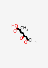 CC(=O)CC(=O)C/C=C(\C)C(=O)O